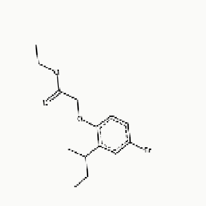 CCOC(=O)COc1ccc(Br)cc1C(C)CC